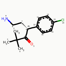 CC(C)(C)C(=O)[C@H](CCN)c1ccc(Cl)cc1